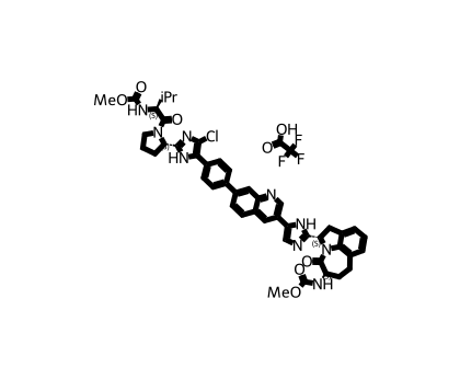 COC(=O)N[C@H]1CCc2cccc3c2N(C1=O)[C@H](c1ncc(-c2cnc4cc(-c5ccc(-c6[nH]c([C@@H]7CCCN7C(=O)[C@@H](NC(=O)OC)C(C)C)nc6Cl)cc5)ccc4c2)[nH]1)C3.O=C(O)C(F)(F)F